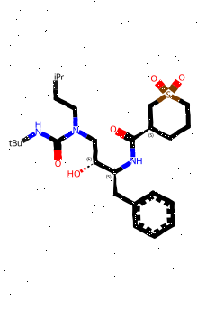 CC(C)CCN(C[C@@H](O)[C@H](Cc1ccccc1)NC(=O)[C@@H]1CCCS(=O)(=O)C1)C(=O)NC(C)(C)C